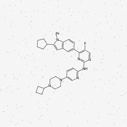 CC(C)n1c(C2CCCC2)cc2cc(-c3nc(Nc4ccc(N5CCN(C6CCC6)CC5)cn4)ncc3F)ccc21